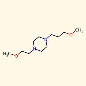 COCCCN1CCN(CCOC)CC1